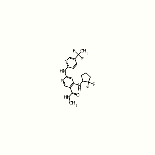 CNC(=O)c1cnc(Nc2ccc(C(C)(F)F)cn2)cc1NC1CCCC1(F)F